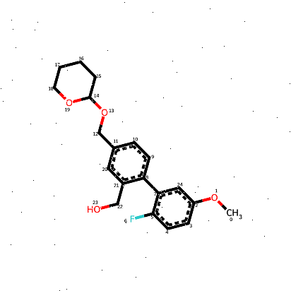 COc1ccc(F)c(-c2ccc(COC3CCCCO3)cc2CO)c1